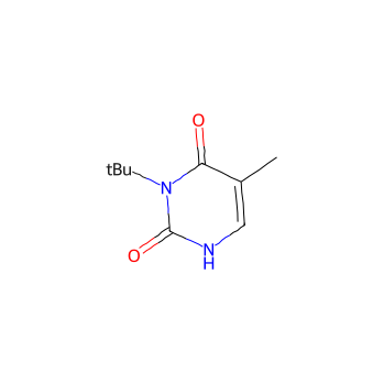 Cc1c[nH]c(=O)n(C(C)(C)C)c1=O